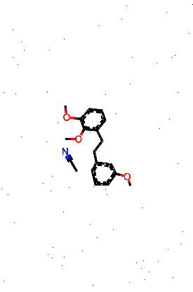 CC#N.COc1cccc(CCc2cccc(OC)c2OC)c1